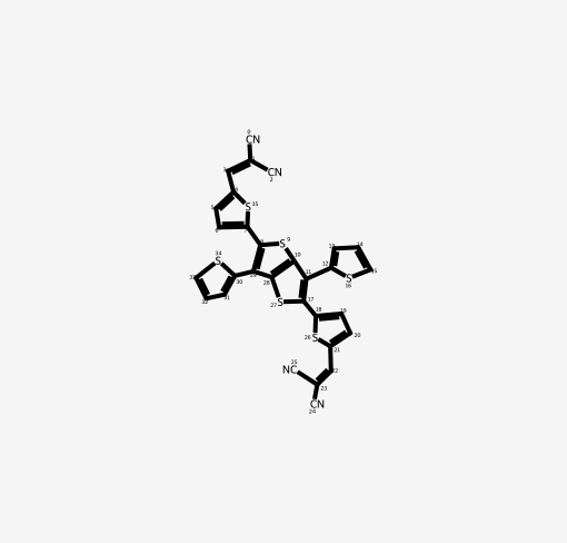 N#CC(C#N)=Cc1ccc(-c2sc3c(-c4cccs4)c(-c4ccc(C=C(C#N)C#N)s4)sc3c2-c2cccs2)s1